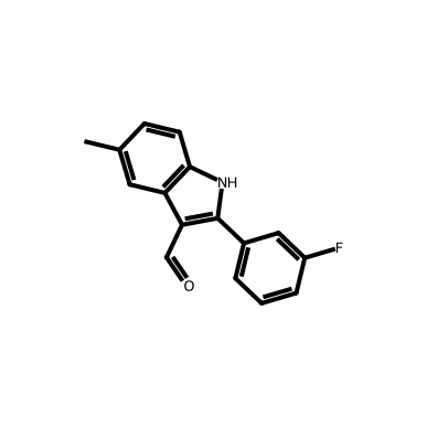 Cc1ccc2[nH]c(-c3cccc(F)c3)c(C=O)c2c1